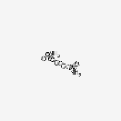 NC(COc1ccc2c(c1)Cc1cc(OCC(N)S(=O)(=O)c3ccccc3)ccc1-2)S(=O)(=O)c1ccccc1